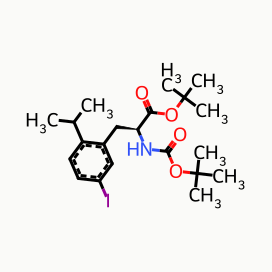 CC(C)c1ccc(I)cc1C[C@H](NC(=O)OC(C)(C)C)C(=O)OC(C)(C)C